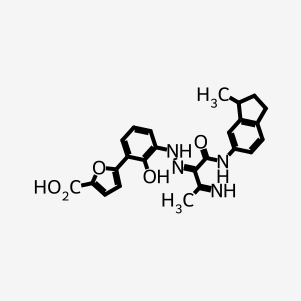 CC(=N)/C(=N/Nc1cccc(-c2ccc(C(=O)O)o2)c1O)C(=O)Nc1ccc2c(c1)C(C)CC2